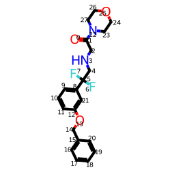 O=C(CNCC(F)(F)c1cccc(OCc2ccccc2)c1)N1CCOCC1